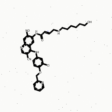 N#Cc1cnc2cc(N=O)c(NC(=O)/C=C/CNCCCCCCO)cc2c1Nc1ccc(OCc2ccccn2)c(Cl)c1